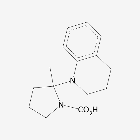 CC1(N2CCCc3ccccc32)CCCN1C(=O)O